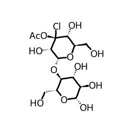 CC(=O)O[C@@]1(Cl)[C@H](O)[C@@H](CO)O[C@H](O[C@H]2[C@H](O)[C@@H](O)[C@H](O)O[C@@H]2CO)[C@@H]1O